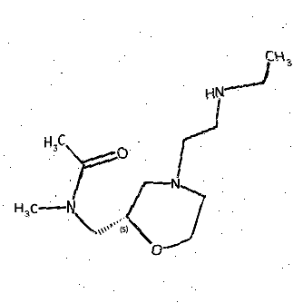 CCNCCN1CCO[C@H](CN(C)C(C)=O)C1